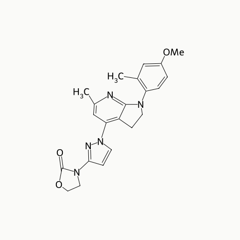 COc1ccc(N2CCc3c(-n4ccc(N5CCOC5=O)n4)cc(C)nc32)c(C)c1